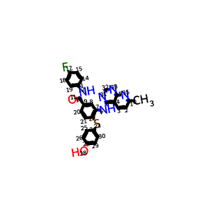 Cc1ccc2c(Nc3cc(C(=O)Nc4ccc(F)cc4)ccc3Sc3ccc(O)cc3)ncnc2n1